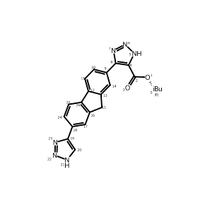 CC[C@@H](C)OC(=O)c1[nH]nnc1-c1ccc2c(c1)Cc1cc(-c3c[nH]nn3)ccc1-2